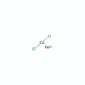 [Cl][Cu][Cl].[Fe+3]